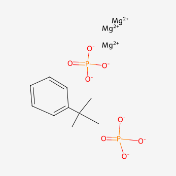 CC(C)(C)c1ccccc1.O=P([O-])([O-])[O-].O=P([O-])([O-])[O-].[Mg+2].[Mg+2].[Mg+2]